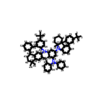 CC(C)(C)c1ccc(C23CCCCC2(C)N(c2cc4c5c(c2)N2c6cc7c(cc6B5c5ccccc5N4c4ccccc4)C(C)(C)CCC7(C)c4ccccc4-c4cc(C(C)(C)C)ccc42)c2ccccc23)cc1